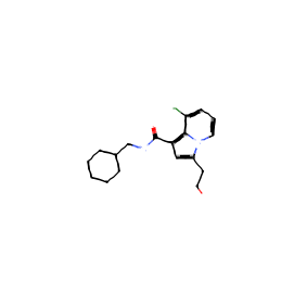 O=C(NCC1CCCCC1)c1cc(CCO)n2cccc(Cl)c12